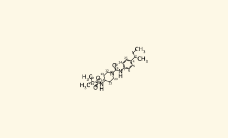 CCC(C)c1ccc(NC(=O)N2CCC(NS(=O)(=O)C(C)C)CC2)cc1